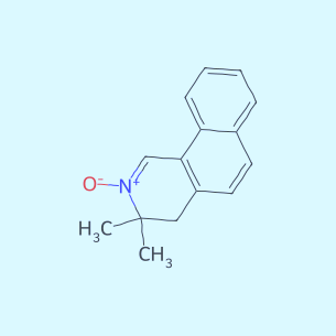 CC1(C)Cc2ccc3ccccc3c2C=[N+]1[O-]